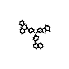 CC1CC=Cc2c1oc1cc(N(c3ccc(-c4cccc5c4C=CCC5)cc3)c3ccc(-c4cc5ccccc5c5ccccc45)cc3)ccc21